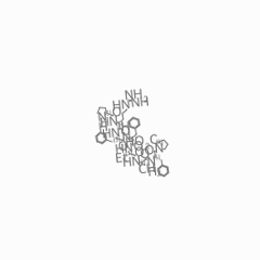 CC[C@H](NC(=O)[C@H](Cc1ccccc1)NC(=O)[C@H](Cc1ccccc1)NC(=O)[C@H](CCCNC(=N)N)NC(=O)[C@@H]1CCCN1)C(=O)N[C@@H](C)C(=O)N[C@@H](Cc1ccccc1)C(=O)N1CCC[C@@H]1C(=O)O